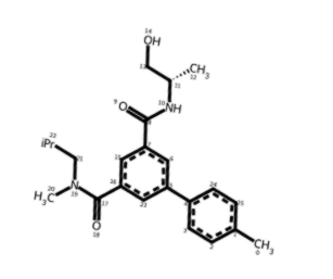 Cc1ccc(-c2cc(C(=O)N[C@@H](C)CO)cc(C(=O)N(C)CC(C)C)c2)cc1